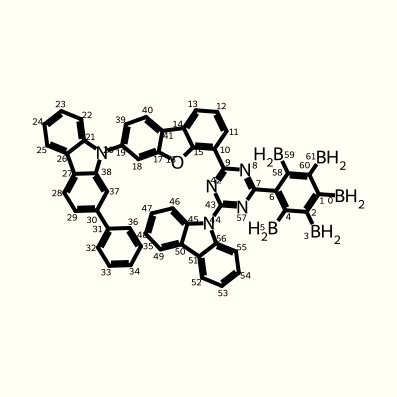 Bc1c(B)c(B)c(-c2nc(-c3cccc4c3oc3cc(-n5c6ccccc6c6ccc(-c7ccccc7)cc65)ccc34)nc(-n3c4ccccc4c4ccccc43)n2)c(B)c1B